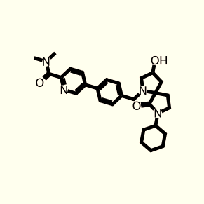 CN(C)C(=O)c1ccc(-c2ccc(CN3CC(O)CC34CCN(C3CCCCC3)C4=O)cc2)cn1